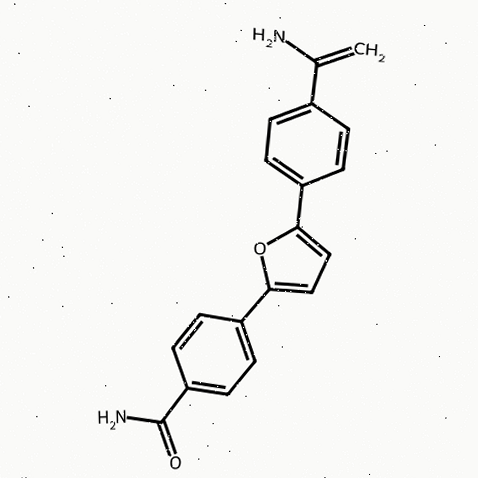 C=C(N)c1ccc(-c2ccc(-c3ccc(C(N)=O)cc3)o2)cc1